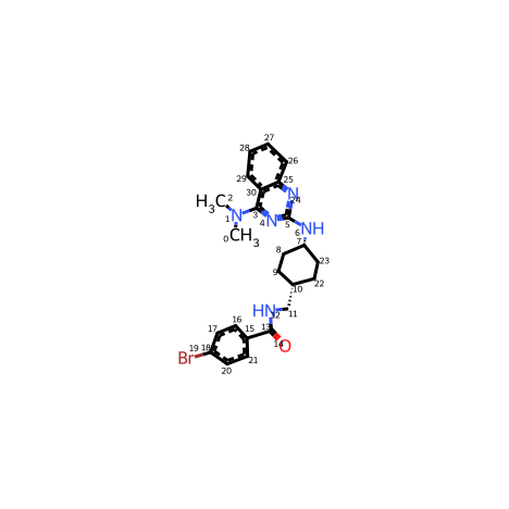 CN(C)c1nc(N[C@H]2CC[C@@H](CNC(=O)c3ccc(Br)cc3)CC2)nc2ccccc12